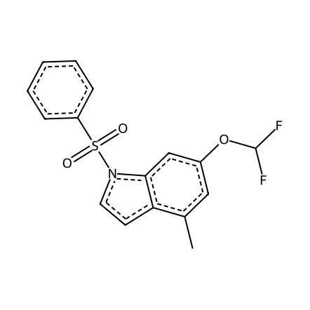 Cc1cc(OC(F)F)cc2c1ccn2S(=O)(=O)c1ccccc1